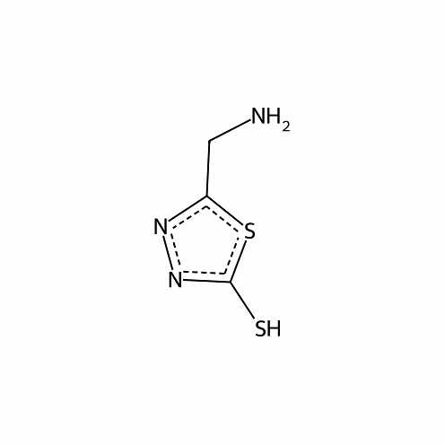 NCc1nnc(S)s1